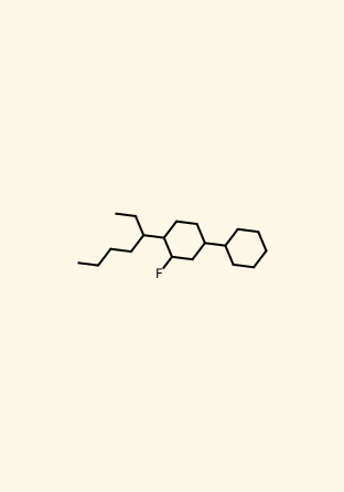 CCCCC(CC)C1CCC(C2CCCCC2)CC1F